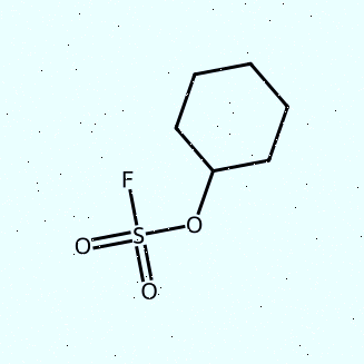 O=S(=O)(F)OC1CCCCC1